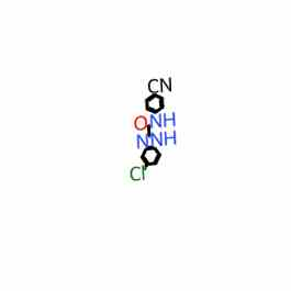 N#Cc1ccc(NC(=O)c2nc3cc(Cl)ccc3[nH]2)cc1